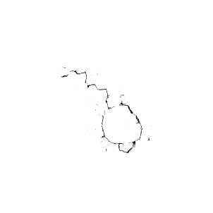 CO[C@H]1C[C@@H]([C@H](C)[C@@H](O)[C@@H](C)CCC(=O)[C@H](C)[C@H](O)[C@H](C)/C=C/N(C)C=O)OC(=O)/C=C/C=C(\C)[C@H](O)[C@H](OC)C[C@@H]2C=CC[C@@H](C[C@H](OC)[C@]3(CO3)[C@@H](OC)C1)O2